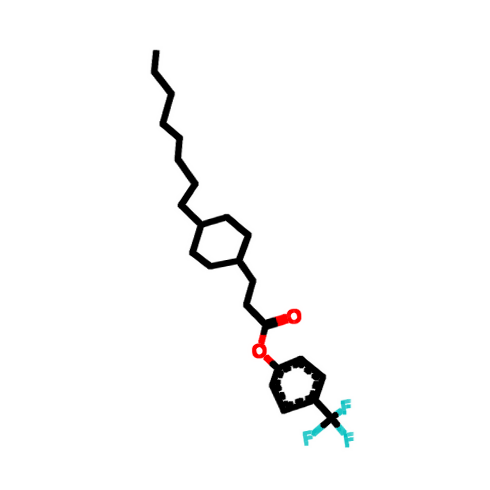 CCCCCCCCC1CCC(CCC(=O)Oc2ccc(C(F)(F)F)cc2)CC1